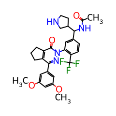 COc1cc(OC)cc(-c2nn(-c3cc(C(NC(C)=O)C4CCNC4)ccc3C(F)(F)F)c(=O)c3c2CCC3)c1